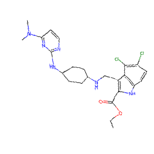 CCOC(=O)c1[nH]c2ccc(Cl)c(Cl)c2c1CNC1CCC(Nc2nccc(N(C)C)n2)CC1